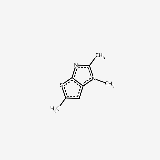 Cc1cc2c(nc(C)n2C)s1